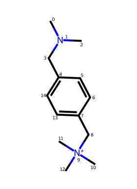 CN(C)Cc1ccc(C[N+](C)(C)C)cc1